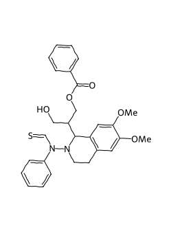 COc1cc2c(cc1OC)C(C(CO)COC(=O)c1ccccc1)N(N(C=S)c1ccccc1)CC2